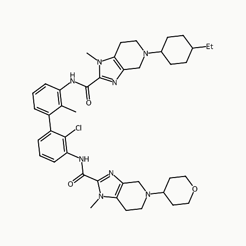 CCC1CCC(N2CCc3c(nc(C(=O)Nc4cccc(-c5cccc(NC(=O)c6nc7c(n6C)CCN(C6CCOCC6)C7)c5Cl)c4C)n3C)C2)CC1